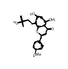 COc1ccc(C2CC(=O)c3c(O)cc(O)c(CCC(C)(C)O)c3O2)cc1